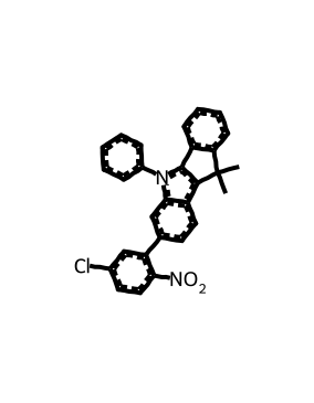 CC1(C)c2ccccc2-c2c1c1ccc(-c3cc(Cl)ccc3[N+](=O)[O-])cc1n2-c1ccccc1